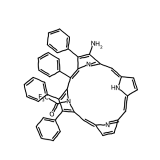 NC1=C(c2ccccc2)c2nc1cc1ccc(cc3nc(cc4c(-c5ccccc5)c(-c5ccccc5)c(c2-c2ccccc2)n4C(=O)C(F)(F)F)C=C3)[nH]1